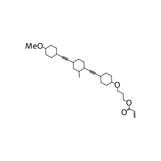 C=CC(=O)OCCCOC1CCC(C#CC2CCC(C#CC3CCC(OC)CC3)CC2C)CC1